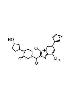 O=C(c1nc2c(C(F)(F)F)cc(-c3ccoc3)cn2c1Cl)N1CCN([C@H]2CC[C@H](O)C2)C(=O)C1